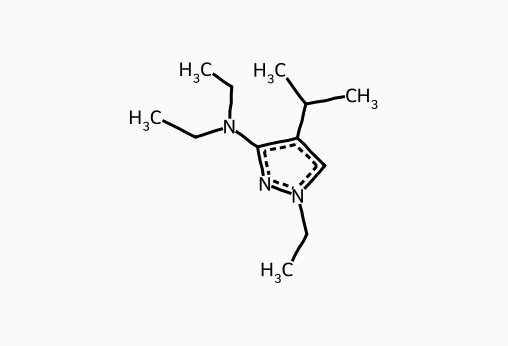 CCN(CC)c1nn(CC)cc1C(C)C